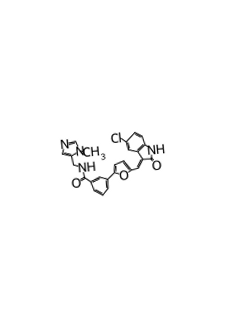 Cn1cncc1CNC(=O)c1cccc(-c2ccc(/C=C3/C(=O)Nc4ccc(Cl)cc43)o2)c1